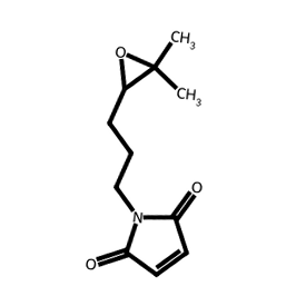 CC1(C)OC1CCCN1C(=O)C=CC1=O